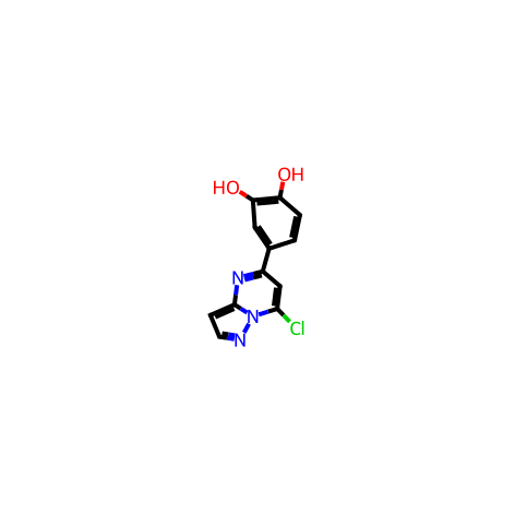 Oc1ccc(-c2cc(Cl)n3nccc3n2)cc1O